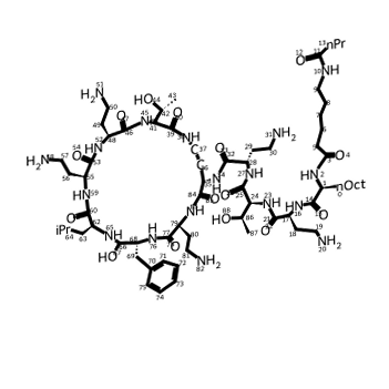 CCCCCCCC[C@H](NC(=O)CCCCCNC(=O)CCC)C(=O)N[C@@H](CCN)C(=O)N[C@H](C(=O)N[C@@H](CCN)C(=O)N[C@H]1CCNC(=O)[C@H]([C@@H](C)O)NC(=O)[C@H](CCN)NC(=O)[C@H](CCN)NC(=O)[C@H](CC(C)C)NC(O)[C@@H](Cc2ccccc2)NC(=O)[C@H](CCN)NC1=O)[C@@H](C)O